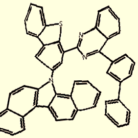 c1ccc(-c2cccc(-c3nc(-c4cc(-n5c6ccc7ccccc7c6c6ccc7ccccc7c65)cc5c4sc4ccccc45)nc4ccccc34)c2)cc1